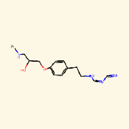 CC(C)NCC(O)COc1ccc(CCN/C=N\C=N)cc1